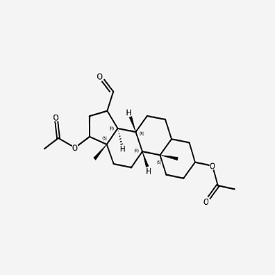 CC(=O)OC1CC[C@@]2(C)C(CC[C@@H]3[C@H]2CC[C@]2(C)C(OC(C)=O)CC(C=O)[C@@H]32)C1